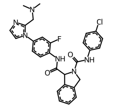 CN(C)Cc1nccn1-c1ccc(NC(=O)C2c3ccccc3CN2C(=O)Nc2ccc(Cl)cc2)c(F)c1